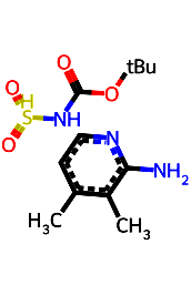 CC(C)(C)OC(=O)N[SH](=O)=O.Cc1ccnc(N)c1C